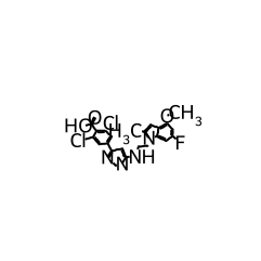 COc1cc(F)cc2c1cc(C)n2CCNc1cc(-c2cc(Cl)c(C(=O)O)c(Cl)c2)ncn1